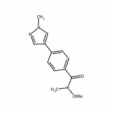 CON(C)C(=O)c1ccc(-c2cnn(C)c2)cc1